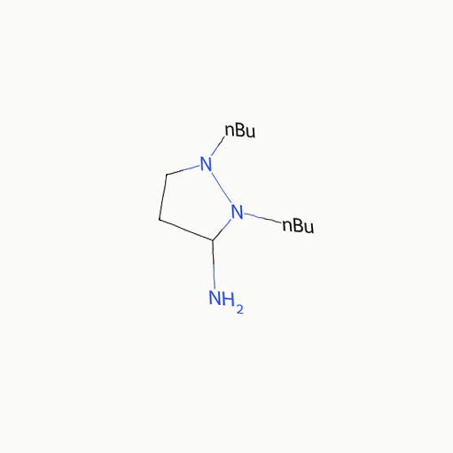 CCCCN1CCC(N)N1CCCC